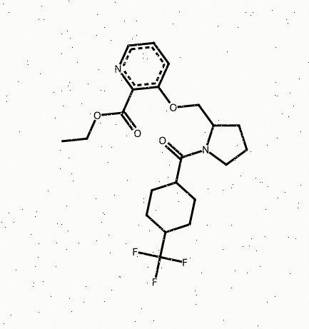 CCOC(=O)c1ncccc1OCC1CCCN1C(=O)C1CCC(C(F)(F)F)CC1